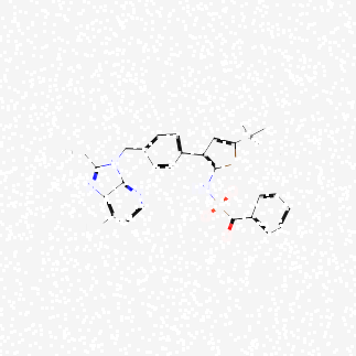 CCCc1nc2c(C)ccnc2n1Cc1ccc(-c2cc([Si](C)(C)C)sc2NS(=O)(=O)C(=O)c2ccccc2)cc1